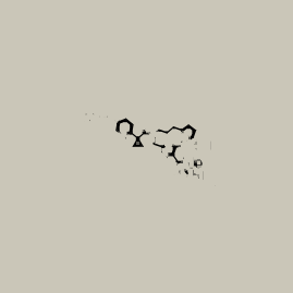 COc1ccc(C2(C(=O)N(CCCc3ccc(C)o3)Cc3nc(C(=O)NS(N)(=O)=O)c(C)s3)CC2)nc1